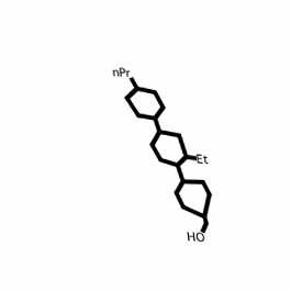 CCCC1CCC(C2CCC(C3CCC(CO)CC3)C(CC)C2)CC1